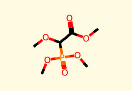 COC(=O)C(OC)P(=O)(OC)OC